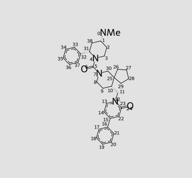 CN[C@@H]1CCN(C(=O)N2CC[C@@H](Cn3ccc(-c4ccccc4)cc3=O)C3(CCCC3)C2)[C@H](c2ccccc2)C1